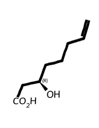 C=CCCC[C@@H](O)CC(=O)O